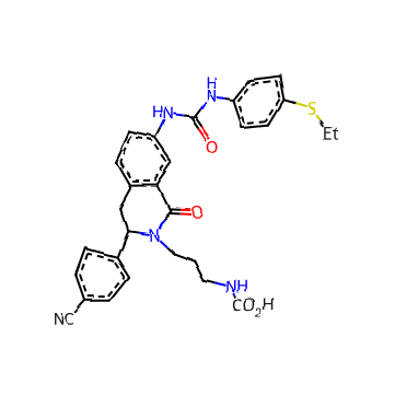 CCSc1ccc(NC(=O)Nc2ccc3c(c2)C(=O)N(CCCNC(=O)O)C(c2ccc(C#N)cc2)C3)cc1